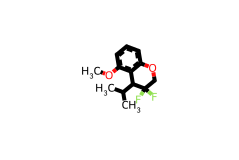 COc1cccc2c1C(C(C)C)C(F)(F)CO2